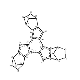 C1CC2CC1c1nc3n(c12)c1nc2c(n1c1nc4c(n31)C1CCC4C1)C1CCC2C1